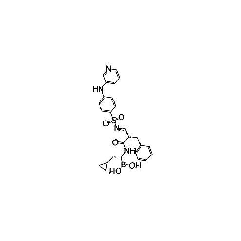 O=C(N[C@@H](CC1CC1)B(O)O)C(/C=N/S(=O)(=O)c1ccc(Nc2cccnc2)cc1)Cc1ccccc1